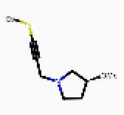 CCSC#CCN1CC[C@H](OC)C1